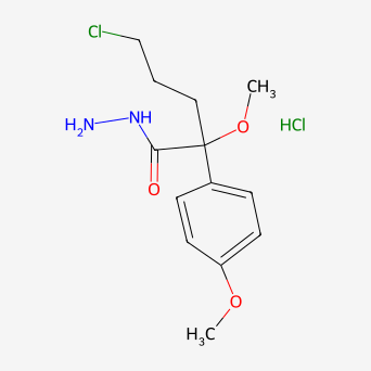 COc1ccc(C(CCCCl)(OC)C(=O)NN)cc1.Cl